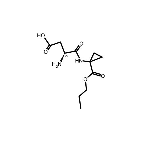 CCCOC(=O)C1(NC(=O)[C@@H](N)CC(=O)O)CC1